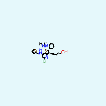 CN[C@@H]1CC=CC[C@H]1c1sc2c(NCc3cccs3)cc(Cl)nc2c1C#CCCCO